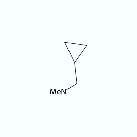 [CH2]NCC1CC1